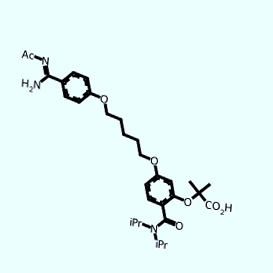 CC(=O)/N=C(\N)c1ccc(OCCCCCOc2ccc(C(=O)N(C(C)C)C(C)C)c(OC(C)(C)C(=O)O)c2)cc1